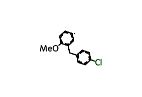 COc1cc[c]cc1Cc1ccc(Cl)cc1